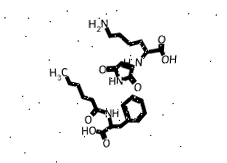 CCCCCC(=O)NC(Cc1ccccc1)C(=O)O.NCCCCC(N)C(=O)O.O=C1C=CC(=O)N1